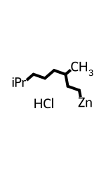 CC(C)CCCC(C)C[CH2][Zn].Cl